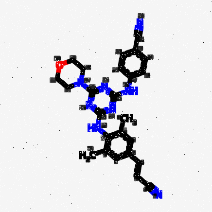 Cc1cc(/C=C/C#N)cc(C)c1Nc1nc(Nc2ccc(C#N)cc2)nc(N2CCOCC2)n1